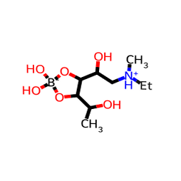 CC[NH+](C)CC(O)C1O[B-](O)(O)OC1C(C)O